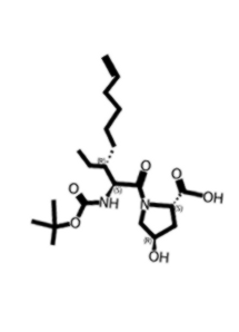 C=CCCCC[C@@H](CC)[C@H](NC(=O)OC(C)(C)C)C(=O)N1C[C@H](O)C[C@H]1C(=O)O